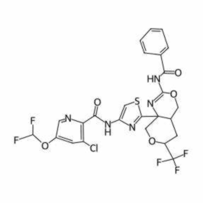 O=C(NC1=NC2(c3nc(NC(=O)c4ncc(OC(F)F)cc4Cl)cs3)COC(C(F)(F)F)CC2CO1)c1ccccc1